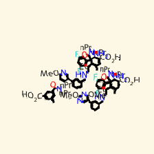 CCCN(CCC)C(=O)C1(c2cc(F)cc(F)c2)C([C@@H](CC)CNCc2cccc(-c3ccc(OC)nc3)c2)=C(C)C=C(C(=O)O)[C@H]1N.CCCN(CCC)C(=O)C1(c2cc(F)cc(F)c2)C([C@@H](CC)CNCc2cccc(-c3cnc(OC)nc3OC)c2)=C(C)C=C(C(=O)O)[C@H]1N.CCCN(CCC)C(=O)c1cc(C)cc(C(=O)O)c1